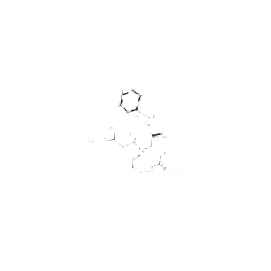 CC(C)CCN(C)[C@@H](CC(C)C)C(=O)OCc1ccccc1